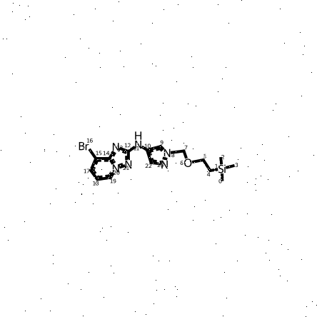 C[Si](C)(C)CCOCn1cc(Nc2nc3c(Br)cccn3n2)cn1